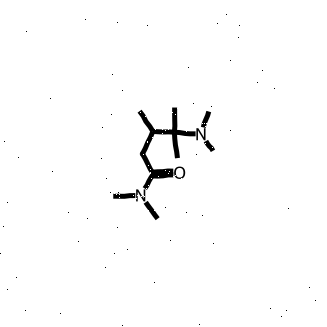 CC(CC(=O)N(C)C)C(C)(C)N(C)C